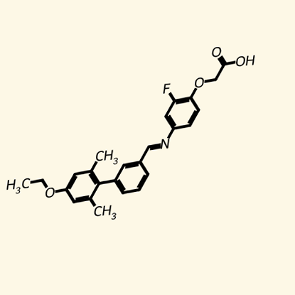 CCOc1cc(C)c(-c2cccc(C=Nc3ccc(OCC(=O)O)c(F)c3)c2)c(C)c1